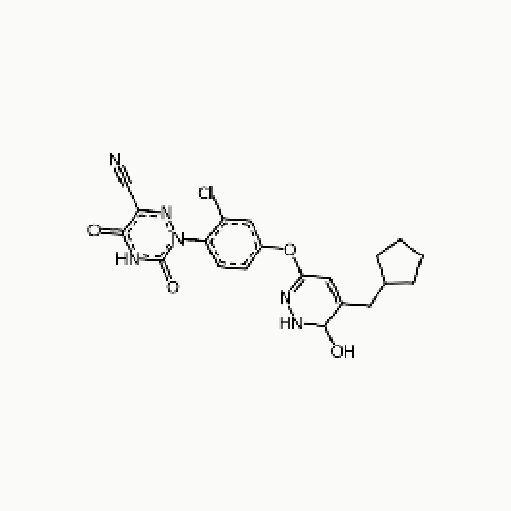 N#Cc1nn(-c2ccc(OC3=NNC(O)C(CC4CCCC4)=C3)cc2Cl)c(=O)[nH]c1=O